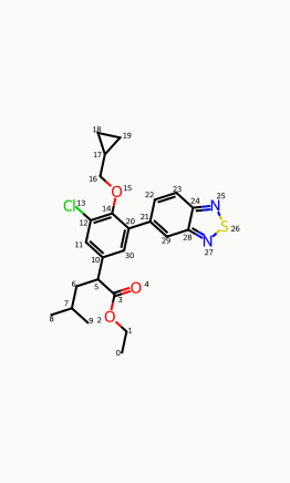 CCOC(=O)C(CC(C)C)c1cc(Cl)c(OCC2CC2)c(-c2ccc3nsnc3c2)c1